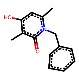 Cc1c(O)cc(C)n(Cc2ccccc2)c1=O